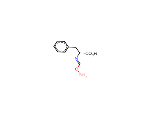 BOC=NC(Cc1ccccc1)C(=O)O